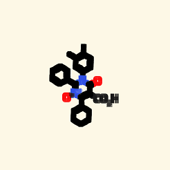 Cc1ccc(-n2c(-c3ccccc3)[n+]([O-])c(C3=CCCCC3)c(C(=O)O)c2=O)cc1C